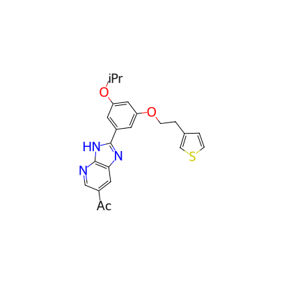 CC(=O)c1cnc2[nH]c(-c3cc(OCCc4ccsc4)cc(OC(C)C)c3)nc2c1